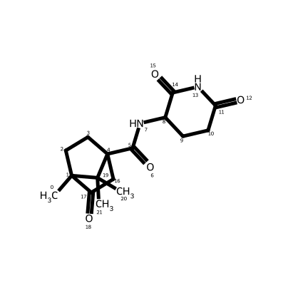 CC12CCC(C(=O)NC3CCC(=O)NC3=O)(CC1=O)C2(C)C